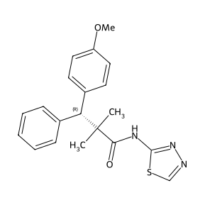 COc1ccc([C@@H](c2ccccc2)C(C)(C)C(=O)Nc2nncs2)cc1